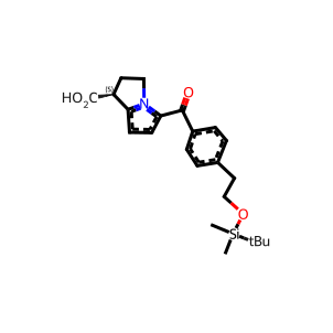 CC(C)(C)[Si](C)(C)OCCc1ccc(C(=O)c2ccc3n2CC[C@@H]3C(=O)O)cc1